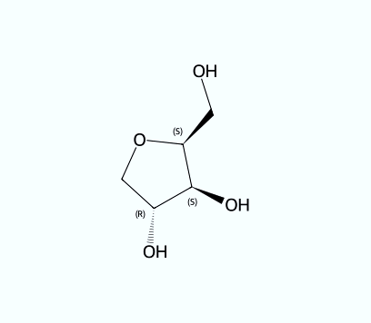 OC[C@@H]1OC[C@@H](O)[C@@H]1O